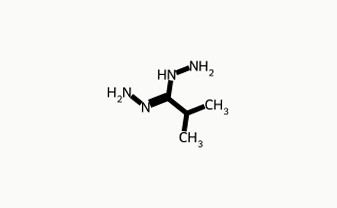 CC(C)/C(=N/N)NN